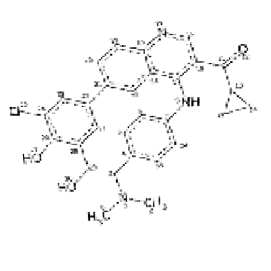 CN(C)Cc1ccc(Nc2c(C(=O)C3CC3)cnc3ccc(-c4cc(Cl)c(O)c(CO)c4)cc23)cc1